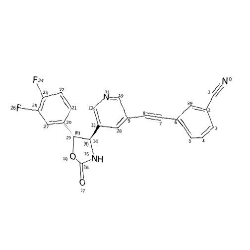 N#Cc1cccc(C#Cc2cncc([C@H]3NC(=O)O[C@@H]3c3ccc(F)c(F)c3)c2)c1